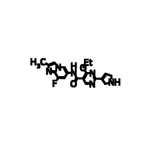 CCOc1nc(C2=CCNC2)ncc1C(=O)Nc1cc(F)c2nc(C)cn2c1